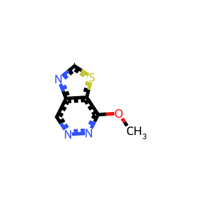 COc1nncc2n[c]sc12